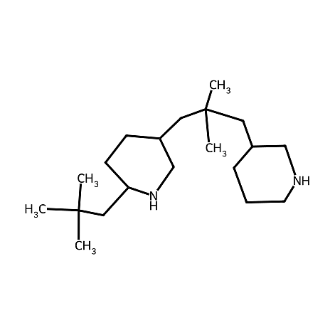 CC(C)(C)CC1CCC(CC(C)(C)CC2CCCNC2)CN1